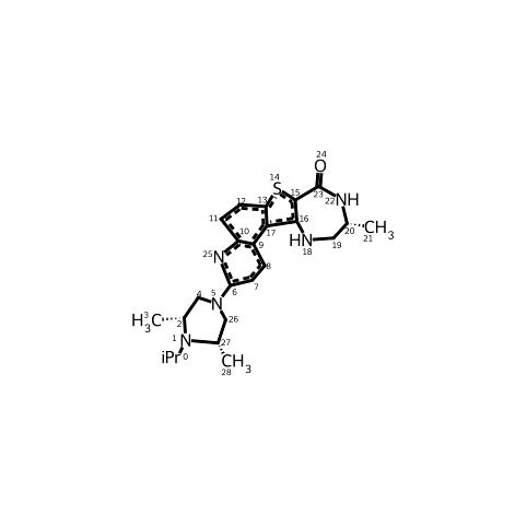 CC(C)N1[C@H](C)CN(c2ccc3c(ccc4sc5c(c43)NC[C@@H](C)NC5=O)n2)C[C@@H]1C